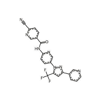 N#Cc1ccc(C(=O)Nc2ccc(-n3nc(-c4cccnc4)cc3C(F)(F)F)cn2)cn1